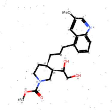 COc1cnc2cccc(CCC[C@@H]3CCN(C(=O)OC(C)(C)C)C[C@@H]3C(O)CO)c2c1